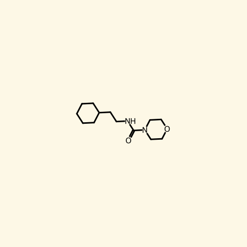 O=C(NCCC1CCCCC1)N1CCOCC1